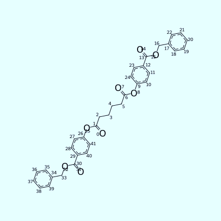 O=C(CCCCC(=O)Oc1ccc(C(=O)OCc2ccccc2)cc1)Oc1ccc(C(=O)OCc2ccccc2)cc1